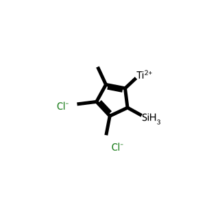 CC1=C(C)C([SiH3])[C]([Ti+2])=C1C.[Cl-].[Cl-]